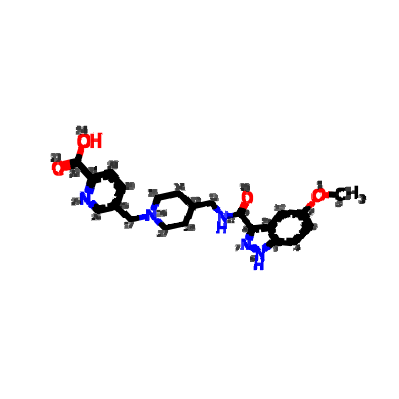 COc1ccc2[nH]nc(C(=O)NCC3CCN(Cc4ccc(C(=O)O)nc4)CC3)c2c1